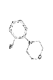 Brc1[c]cccc1N1CCOCC1